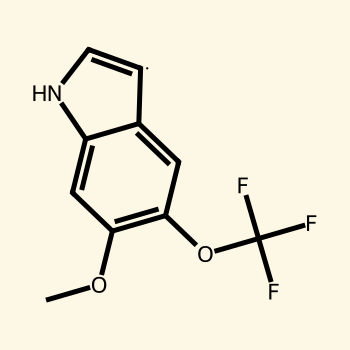 COc1cc2[nH]c[c]c2cc1OC(F)(F)F